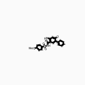 COc1ccc(S(=O)(=O)Nc2n[nH]c3cc(Cl)c(-c4ccccc4)cc23)cc1